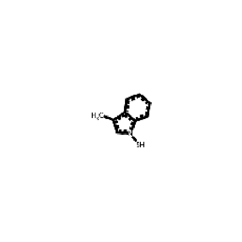 Cc1cn(S)c2ccccc12